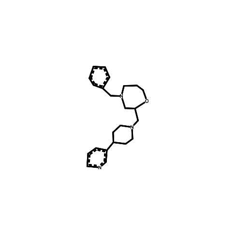 c1ccc(CN2CCCOC(CN3CCC(c4cccnc4)CC3)C2)cc1